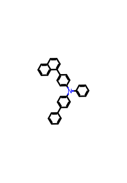 c1ccc(-c2ccc(N(c3ccccc3)c3ccc(-c4cccc5ccccc45)cc3)cc2)cc1